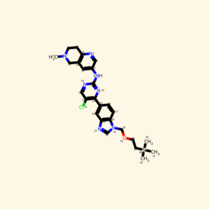 CN1CCc2ncc(Nc3ncc(Cl)c(-c4ccc5c(c4)ncn5COCC[Si](C)(C)C)n3)cc2C1